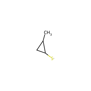 CC1CC1[S]